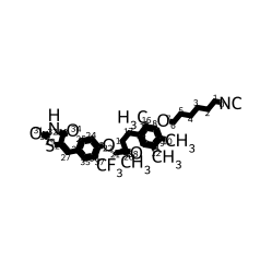 [C-]#[N+]CCCCCCOc1c(C)c(C)c2c(c1C)CCC(C)(COc1ccc(/C=C3/SC(=O)NC3=O)cc1C(F)(F)F)O2